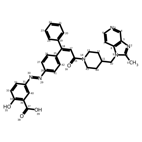 Cc1nc2cnccc2n1CC1CCN(C(=O)/C=C(/c2ccccc2)c2ccc(/N=N/c3ccc(O)c(C(=O)O)c3)cc2)CC1